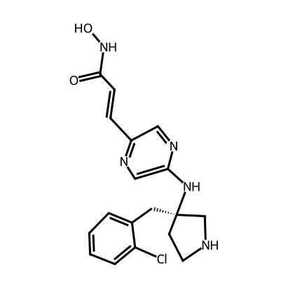 O=C(/C=C/c1cnc(N[C@]2(Cc3ccccc3Cl)CCNC2)cn1)NO